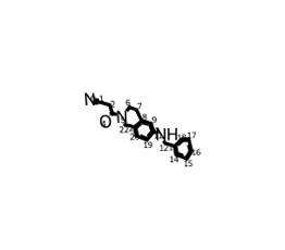 N#CCC(=O)N1CCc2cc(NCc3ccccc3)ccc2C1